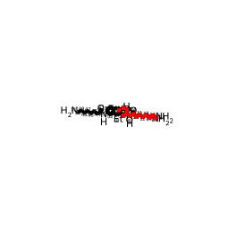 C=C/C=C1\C(=C/NC(=O)CCCCCCCN)C2(CC)c3cc(NC(=O)CCCCCCCN)ccc3C1c1ccc(NC(=O)CCCCCCCN)cc12